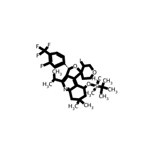 CC(C)c1nc2c(c3c1[C@H](c1ccc(C(F)(F)F)c(F)c1)OC31CCOCC1I)C(O[Si](C)(C)C(C)(C)C)CC(C)(C)C2